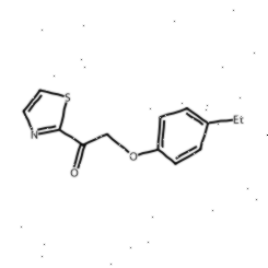 CCc1ccc(OCC(=O)c2nccs2)cc1